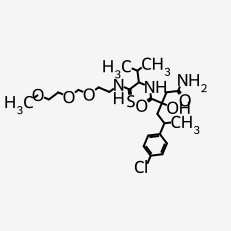 COCCOCOCCNC(=S)C(NC(=O)C(O)(CC(N)=O)CC(C)c1ccc(Cl)cc1)C(C)C